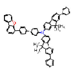 CC1(C)c2cc(-c3ccccc3)ccc2-c2ccc(N(c3ccc(-c4ccc(-c5cccc6c5oc5ccccc56)cc4)cc3)c3ccc4c(c3)C(C)(C)c3cc(-c5ccccc5)ccc3-4)cc21